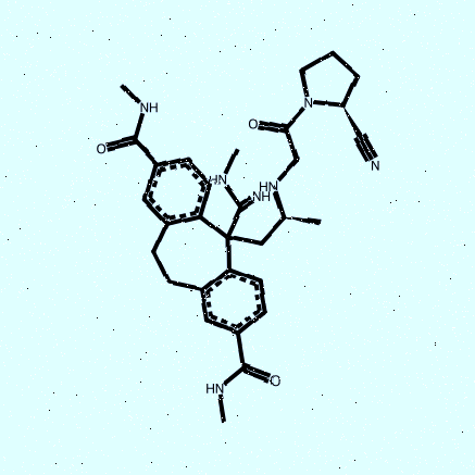 CNC(=N)C1(C[C@H](C)NCC(=O)N2CCC[C@H]2C#N)c2ccc(C(=O)NC)cc2CCc2cc(C(=O)NC)ccc21